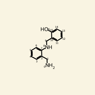 NCc1ccccc1NCc1ccccc1O